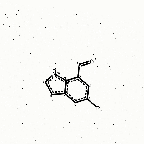 O=Cc1cc(F)cc2cc[nH]c12